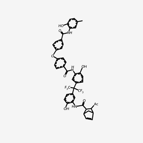 CC(=O)C1C2C=CC(C2)C1C(=O)Nc1cc(C(c2ccc(O)c(NC(=O)c3ccc(Oc4ccc(C(=O)Nc5cc(C)ccc5O)cc4)cc3)c2)(C(F)(F)F)C(F)(F)F)ccc1O